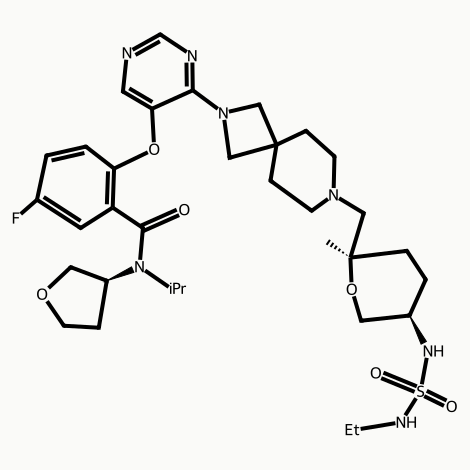 CCNS(=O)(=O)N[C@@H]1CC[C@](C)(CN2CCC3(CC2)CN(c2ncncc2Oc2ccc(F)cc2C(=O)N(C(C)C)[C@H]2CCOC2)C3)OC1